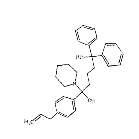 C=CCc1ccc(C(O)(CCCC(O)(c2ccccc2)c2ccccc2)N2CCCCC2)cc1